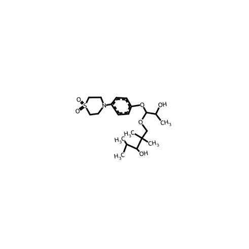 CC(C)C(O)C(C)(C)COC(Oc1ccc(N2CCS(=O)(=O)CC2)cc1)C(C)O